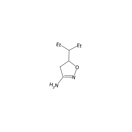 CCC(CC)C1CC(N)=NO1